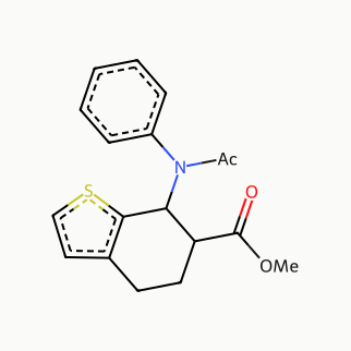 COC(=O)C1CCc2ccsc2C1N(C(C)=O)c1ccccc1